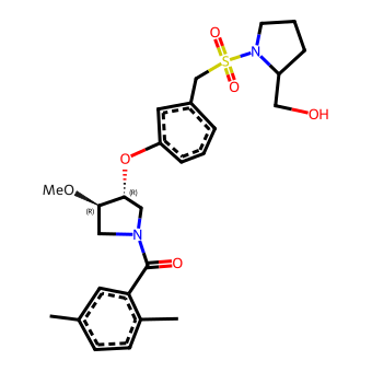 CO[C@@H]1CN(C(=O)c2cc(C)ccc2C)C[C@H]1Oc1cccc(CS(=O)(=O)N2CCCC2CO)c1